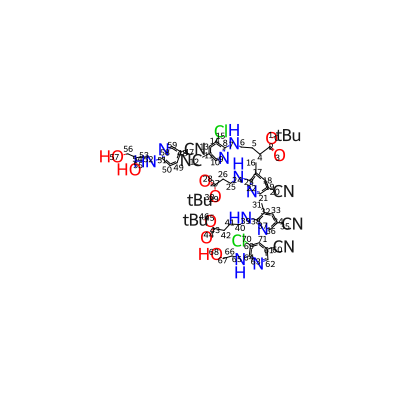 CC(C)(C)OC(=O)CCCNc1ncc(C#N)cc1Cl.Cc1cc(C#N)cnc1NCCC(=O)OC(C)(C)C.Cc1cc(C#N)cnc1NCCCC(=O)OC(C)(C)C.N#Cc1ccc(NCC(O)CO)nc1.N#Cc1cnc(NCCO)c(Cl)c1